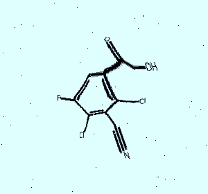 N#Cc1c(Cl)c(F)cc(C(=O)O)c1Cl